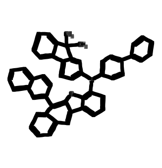 CC1(C)c2ccccc2-c2ccc(N(c3ccc(-c4ccccc4)cc3)c3cccc4c3oc3c(-c5ccc6ccccc6c5)c5ccccc5cc34)cc21